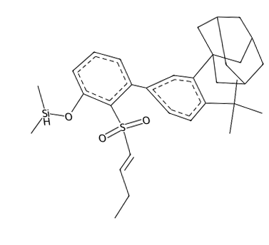 CCC=CS(=O)(=O)c1c(O[SiH](C)C)cccc1-c1ccc(C(C)(C)C)c(C23CC4CC(CC(C4)C2)C3)c1